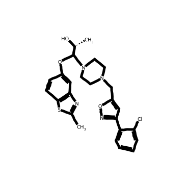 Cc1nc2cc(OC([C@@H](C)O)N3CCN(Cc4cc(-c5ccccc5Cl)no4)CC3)ccc2s1